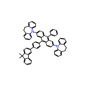 CC1(C)c2ccccc2-c2cc(-c3ccc(-c4c5ccc(N6c7ccccc7CCc7ccccc76)cc5c(-c5ccccc5)c5ccc(N6c7ccccc7CCc7ccccc76)cc45)cc3)ccc21